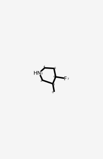 CC1CNCCC1F